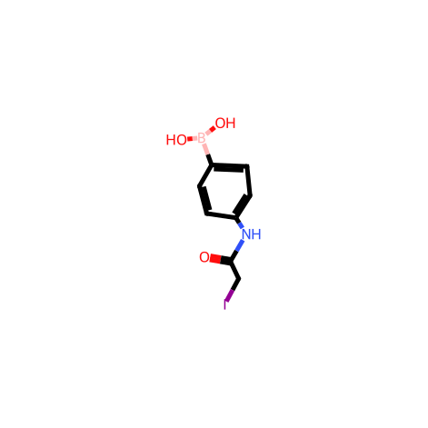 O=C(CI)Nc1ccc(B(O)O)cc1